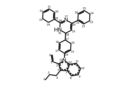 C=Cc1c(CCC)c2ccccc2n1C1=CCC(C2C=C(C3=CCCC=C3)N=C(C3=CC=CCC3)N2)C=C1